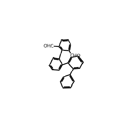 O=Cc1cccc(C=O)c1-c1ccccc1-c1ccccc1-c1ccccc1